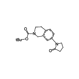 CC(C)(C)OC(=O)N1CCc2ccc(N3CCCC3=O)cc2C1